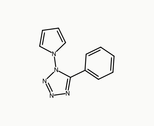 c1ccc(-c2nnnn2-n2cccc2)cc1